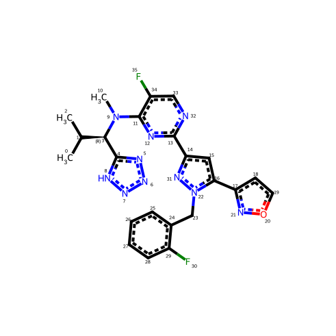 CC(C)[C@H](c1nnn[nH]1)N(C)c1nc(-c2cc(-c3ccon3)n(Cc3ccccc3F)n2)ncc1F